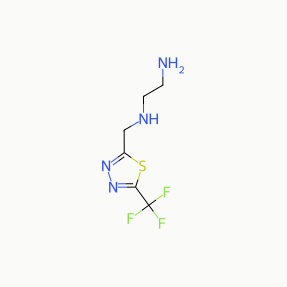 NCCNCc1nnc(C(F)(F)F)s1